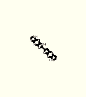 c1cc2nc3cc(-c4nc5nc6nc[nH]c6nc5[nH]4)oc3nc2[nH]1